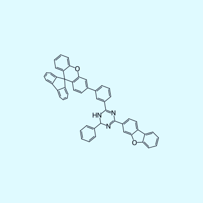 c1ccc(C2N=C(c3ccc4c(c3)oc3ccccc34)N=C(c3cccc(-c4ccc5c(c4)Oc4ccccc4C54c5ccccc5-c5ccccc54)c3)N2)cc1